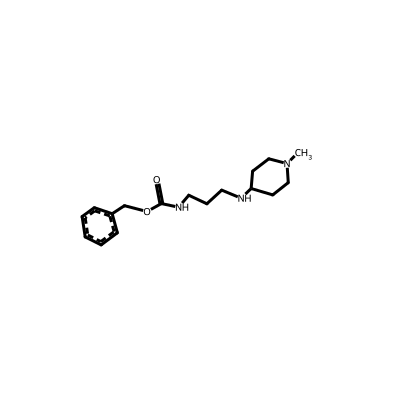 CN1CCC(NCCCNC(=O)OCc2ccccc2)CC1